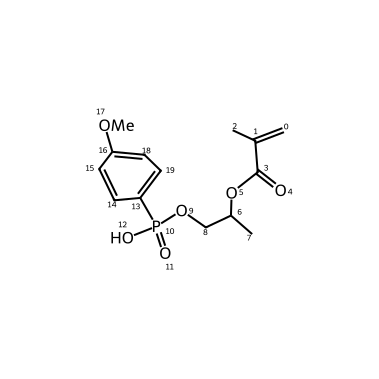 C=C(C)C(=O)OC(C)COP(=O)(O)c1ccc(OC)cc1